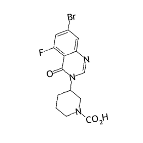 O=C(O)N1CCCC(n2cnc3cc(Br)cc(F)c3c2=O)C1